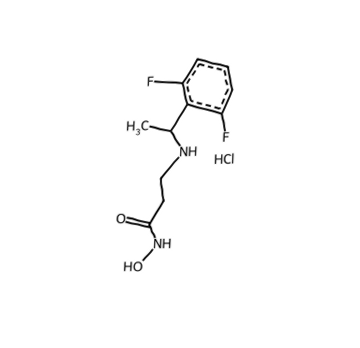 CC(NCCC(=O)NO)c1c(F)cccc1F.Cl